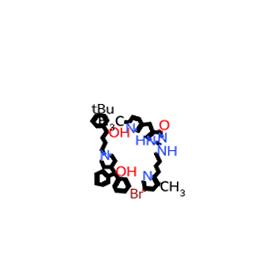 CC(C)(C)c1ccc(C(O)CCCN2CCC(C(O)(c3ccccc3)c3ccccc3)CC2)cc1.Cc1ccc(Cc2c[nH]c(NCCCCc3ncc(Br)cc3C)nc2=O)cn1